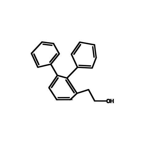 OCCc1[c]ccc(-c2ccccc2)c1-c1ccccc1